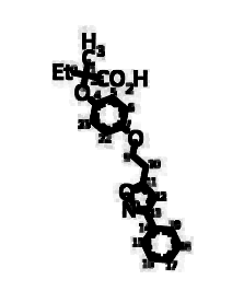 CCC(C)(Oc1ccc(OCCc2cc(-c3ccccc3)no2)cc1)C(=O)O